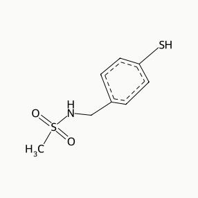 CS(=O)(=O)NCc1ccc(S)cc1